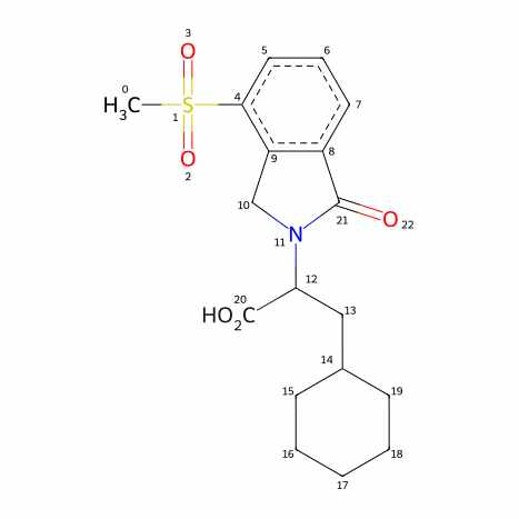 CS(=O)(=O)c1cccc2c1CN(C(CC1CCCCC1)C(=O)O)C2=O